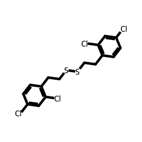 Clc1ccc(CCSSCCc2ccc(Cl)cc2Cl)c(Cl)c1